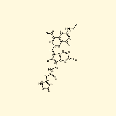 CCNC(=O)Oc1c(OC)cc(/C=C2/C(C)=C(CNC(=O)Cc3cnc[nH]3)c3cc(F)ccc32)cc1OC